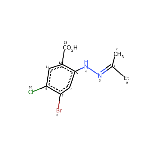 CCC(C)=NNc1cc(Br)c(Cl)cc1C(=O)O